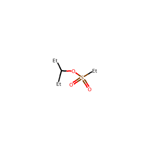 CCC(CC)OS(=O)(=O)CC